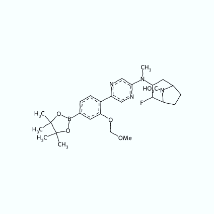 COCOc1cc(B2OC(C)(C)C(C)(C)O2)ccc1-c1cnc(N(C)C2CC3CCC(C2F)N3C(=O)O)cn1